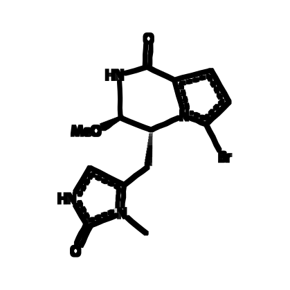 CO[C@H]1NC(=O)c2ccc(Br)n2[C@@H]1Cc1c[nH]c(=O)n1C